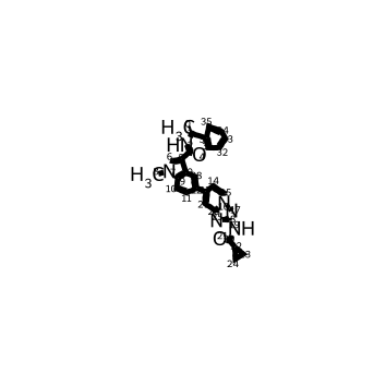 C[C@H](NC(=O)c1cn(C)c2ccc(-c3ccn4nc(NC(=O)C5CC5)nc4c3)cc12)c1ccccc1